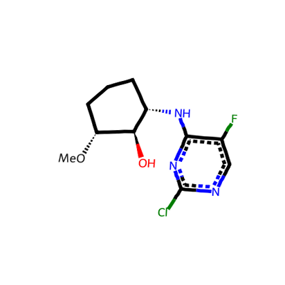 CO[C@@H]1CCC[C@H](Nc2nc(Cl)ncc2F)[C@H]1O